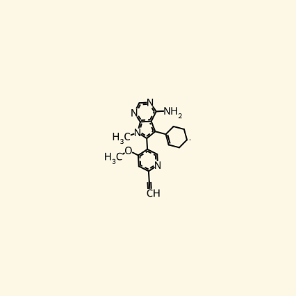 C#Cc1cc(OC)c(-c2c(C3=CC[CH]CC3)c3c(N)ncnc3n2C)cn1